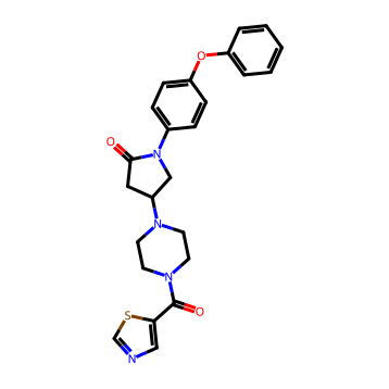 O=C(c1cncs1)N1CCN(C2CC(=O)N(c3ccc(Oc4ccccc4)cc3)C2)CC1